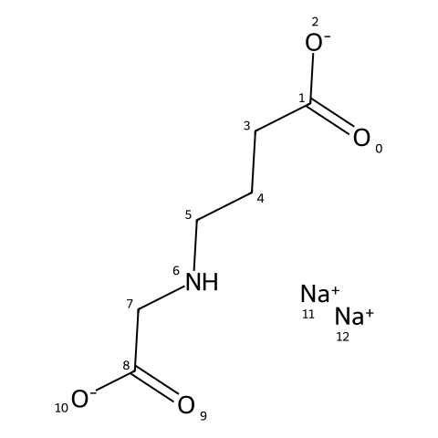 O=C([O-])CCCNCC(=O)[O-].[Na+].[Na+]